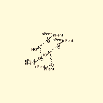 CCCCCC(CCCCC)CCCOC(=O)CCCCCCCN(CCO)CCCCCCCC(=O)OCCCC(CCCCC)CCCCC.CCCCCC(CCCCC)CCCOC(=O)CCCCCCCN(CCO)CCCCCCCC(=O)OCCCC(CCCCC)CCCCC